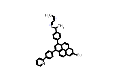 C/C=C\C=N/C(C)c1ccc(C2C=C(c3ccc(-c4ccccn4)cc3)c3ccc4c5c3C2C=CC5CC(C(C)(C)C)=C4)cc1